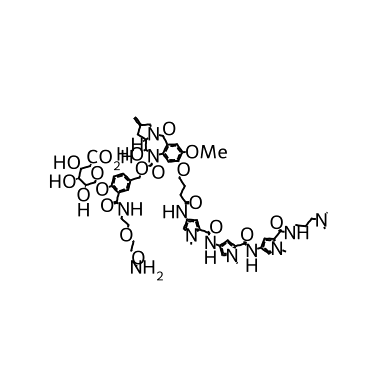 C=C1C[C@H]2C(O)N(C(=O)OCc3ccc(O[C@@H]4O[C@H](C(=O)O)[C@@H](O)[C@H](O)[C@H]4O)c(C(=O)NCCOCCON)c3)c3cc(OCCCC(=O)Nc4cc(C(=O)Nc5cc(C(=O)Nc6cc(C(=O)NCCCN(C)C)n(C)c6)n(C)c5)n(C)c4)c(OC)cc3C(=O)N2C1